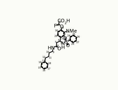 CNc1cc(C(CC(=O)NCCCCc2ccccc2)NS(=O)(=O)c2ccccc2)ccc1OC(F)C(=O)O